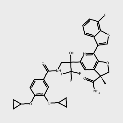 C[C@]1(C(N)=O)COc2c1cc(C(O)(CNC(=O)c1ccc(OC3CC3)c(OC3CC3)c1)C(F)(F)F)nc2-c1csc2c(F)cccc12